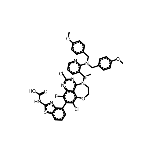 COc1ccc(CN(Cc2ccc(OC)cc2)c2ncccc2[C@@H](C)N2CCOc3c(Cl)c(-c4cccc5sc(NC(=O)O)nc45)c(F)c4nc(Cl)nc2c34)cc1